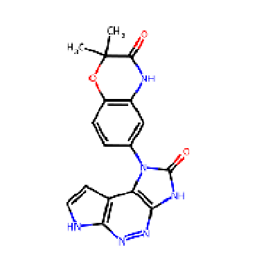 CC1(C)Oc2ccc(-n3c(=O)[nH]c4nnc5[nH]ccc5c43)cc2NC1=O